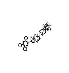 COc1cc(OC)c(-c2cn3ccc(N4CCN(S(=O)(=O)N(C)C)CC4)nc3n2)cc1Cl